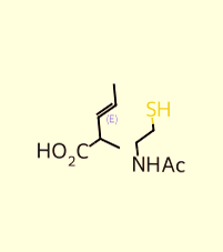 C/C=C/C(C)C(=O)O.CC(=O)NCCS